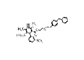 CCOC(=O)C1=C(C)NC(C)=C(C(=O)OCCOCCc2ccc(Cc3cccnc3)cc2)C1c1cccc([N+](=O)[O-])c1